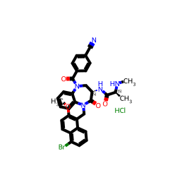 CN[C@@H](C)C(=O)N[C@H]1CN(C(=O)c2ccc(C#N)cc2)c2ccccc2N(Cc2c(OC)ccc3c(Br)cccc23)C1=O.Cl